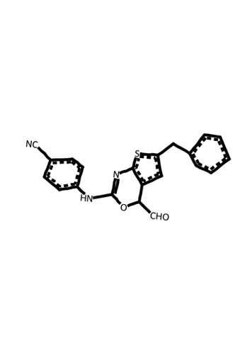 N#Cc1ccc(NC2=Nc3sc(Cc4ccccc4)cc3C(C=O)O2)cc1